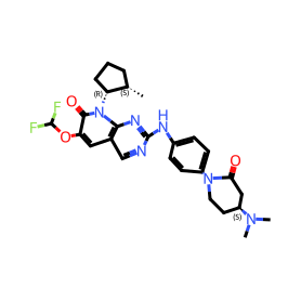 C[C@H]1CCC[C@H]1n1c(=O)c(OC(F)F)cc2cnc(Nc3ccc(N4CC[C@H](N(C)C)CC4=O)cc3)nc21